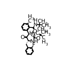 Cc1cccc(CC(=O)[C@@H](Cc2ccccc2F)NC(=O)OC(C)(C)C)c1C(=O)NC(C)(C)C